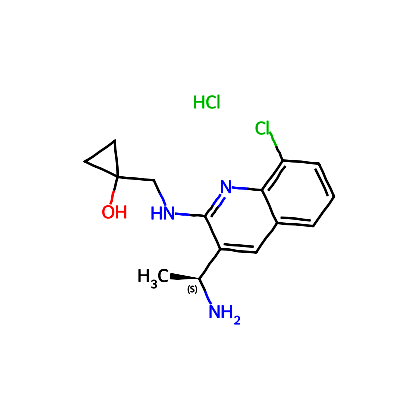 C[C@H](N)c1cc2cccc(Cl)c2nc1NCC1(O)CC1.Cl